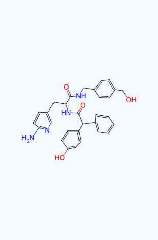 Nc1ccc(CC(NC(=O)C(c2ccccc2)c2ccc(O)cc2)C(=O)NCc2ccc(CO)cc2)cn1